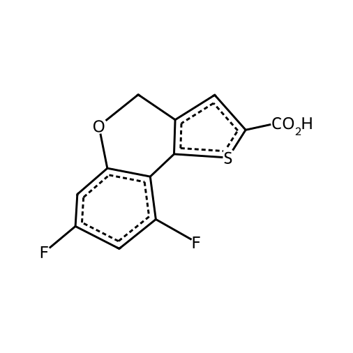 O=C(O)c1cc2c(s1)-c1c(F)cc(F)cc1OC2